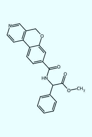 COC(=O)C(NC(=O)c1ccc2c(c1)OCc1cnccc1-2)c1ccccc1